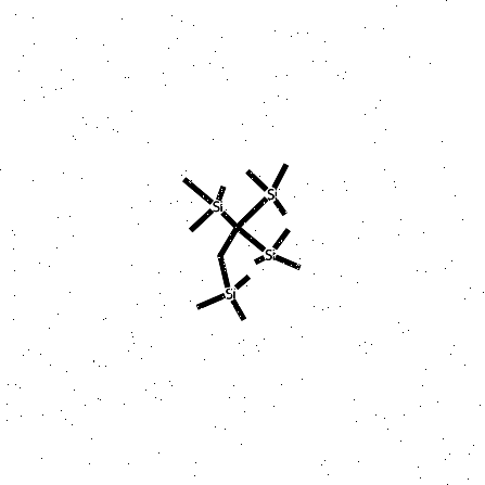 C[Si](C)(C)CC([Si](C)(C)C)([Si](C)(C)C)[Si](C)(C)C